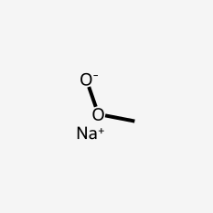 CO[O-].[Na+]